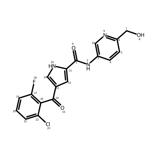 O=C(Nc1ccc(CO)nc1)c1cc(C(=O)c2c(F)cccc2Cl)c[nH]1